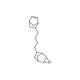 C1=CC2CC1CC2CCCCC1CC2CC1C1OC21